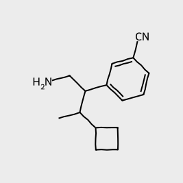 CC(C1CCC1)C(CN)c1cccc(C#N)c1